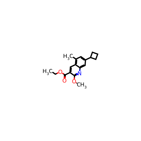 CCOC(=O)c1cc2c(C)cc(C3CCC3)cc2nc1OC